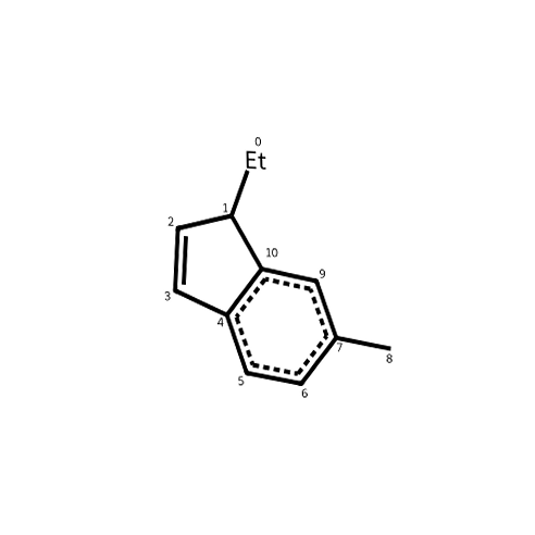 CCC1C=Cc2ccc(C)cc21